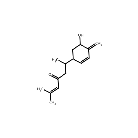 C=C1C=CC(C(C)CC(=O)C=C(C)C)CC1O